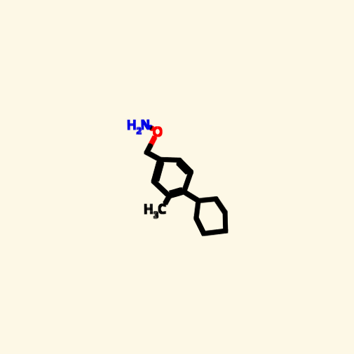 Cc1cc(CON)ccc1C1CCCCC1